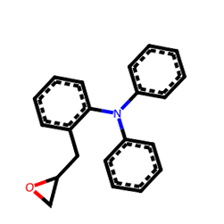 c1ccc(N(c2ccccc2)c2ccccc2CC2CO2)cc1